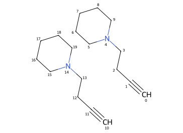 C#CCCN1CCCCC1.C#CCCN1CCCCC1